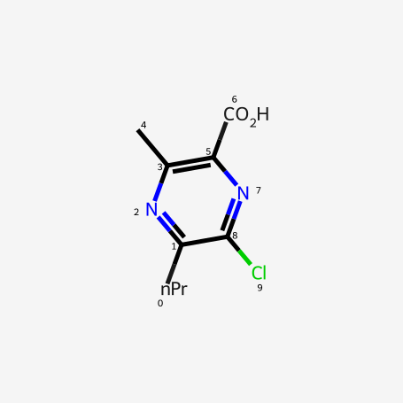 CCCc1nc(C)c(C(=O)O)nc1Cl